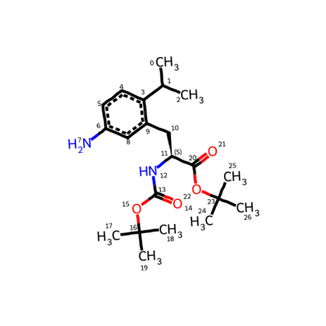 CC(C)c1ccc(N)cc1C[C@H](NC(=O)OC(C)(C)C)C(=O)OC(C)(C)C